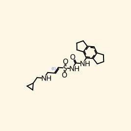 O=C(Nc1c2c(cc3c1CCC3)CCC2)NS(=O)(=O)/C=C/CNCC1CC1